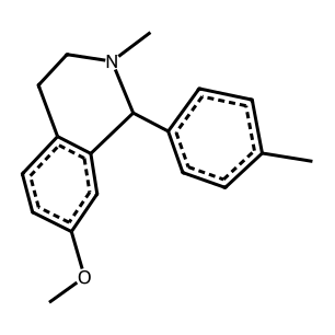 COc1ccc2c(c1)C(c1ccc(C)cc1)N(C)CC2